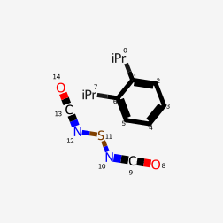 CC(C)c1ccccc1C(C)C.O=C=NSN=C=O